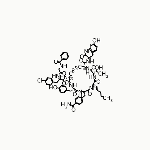 CCCCC[C@@H]1NC(=O)[C@@H](Cc2ccc(C(N)=O)cc2)NC(=O)[C@H](Cc2ccc(O)cc2)NC(=O)[C@H](NC(=O)C(Cc2ccc(Cl)cc2)NC(=O)CNC(=O)c2ccccc2)CSSC[C@@H](C(=O)N[C@H](CC2=CC=C(O)I=C2)C(N)=O)NC(=O)[C@H](C(C)O)NC1=O